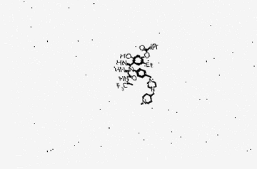 CCc1cc(C(=N)N(C(=N)C(=O)NC(C)C(F)(F)F)c2ccc(CN3CCN(CC4CCN(C)CC4)CC3)cc2)c(O)cc1OC(=O)C(C)C